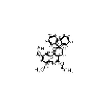 CCOc1nc2c(OC)cc(OC)cc2c2c1C=CC(c1ccccc1)(c1ccccc1)O2